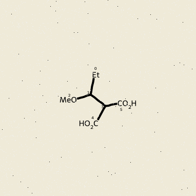 CCC(OC)C(C(=O)O)C(=O)O